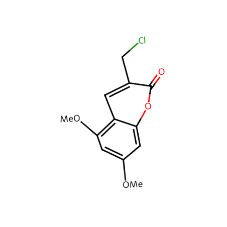 COc1cc(OC)c2cc(CCl)c(=O)oc2c1